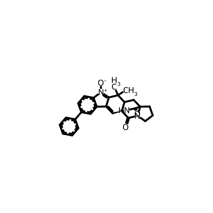 CC1(C)C2=[N+]([O-])c3ccc(-c4ccccc4)cc3C2=C[C@@]23NC(=O)C4(CCCN4C2=O)CC13